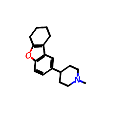 CN1CCC(c2ccc3oc4c(c3c2)CCCC4)CC1